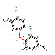 [CH]c1cc(F)c(Oc2ccc(F)c(Cl)c2)c(F)c1